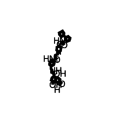 O=C(CCN1CCC(OC(=O)Nc2ccccc2-c2ccccc2)CC1)Nc1ccc(CNC[C@@H](O)c2ccc(O)c3[nH]c(=O)ccc23)cc1F